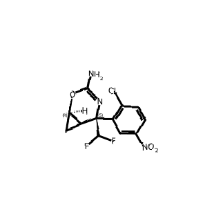 NC1=N[C@@](c2cc([N+](=O)[O-])ccc2Cl)(C(F)F)C2C[C@H]2O1